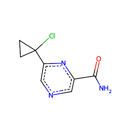 NC(=O)c1cncc(C2(Cl)CC2)n1